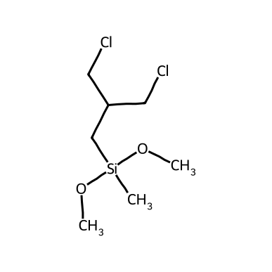 CO[Si](C)(CC(CCl)CCl)OC